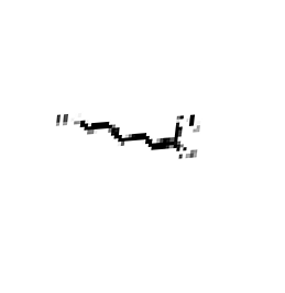 CC=CCCC=C(C)C(C)=O